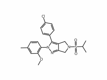 COc1cc(C)ccc1-n1nc2c(c1-c1ccc(Cl)cc1)CN(S(=O)(=O)C(C)C)C2